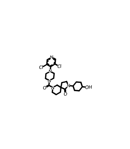 O=C(N1CCN(c2c(Cl)cncc2Cl)CC1)N1CCCC2(CCN(C3CCC(O)CC3)C2=O)C1